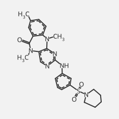 Cc1ccc2c(c1)C(=O)N(C)c1cnc(Nc3cccc(S(=O)(=O)N4CCCCC4)c3)nc1N2C